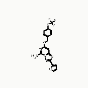 Nc1nc(SCc2ccc(OC(F)(F)F)cc2)cc2nc(-c3ccco3)nn12